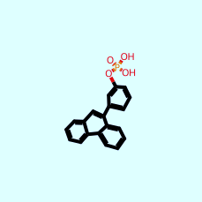 O=P(O)(O)Oc1cccc(-c2cc3ccccc3c3ccccc23)c1